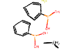 C[SiH2]C.OP(O)c1ccccc1.OP(O)c1ccccc1.S